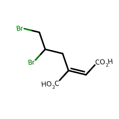 O=C(O)/C=C(\CC(Br)CBr)C(=O)O